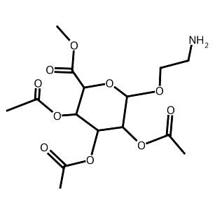 COC(=O)C1OC(OCCN)C(OC(C)=O)C(OC(C)=O)C1OC(C)=O